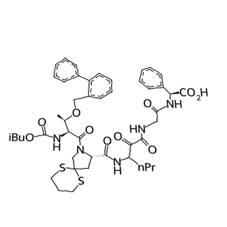 CCCC(NC(=O)[C@@H]1CC2(CN1C(=O)[C@@H](NC(=O)OCC(C)C)[C@@H](C)OCc1ccccc1-c1ccccc1)SCCCS2)C(=O)C(=O)NCC(=O)N[C@H](C(=O)O)c1ccccc1